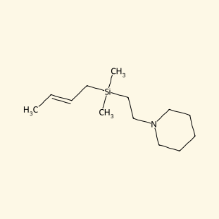 CC=CC[Si](C)(C)CCN1CCCCC1